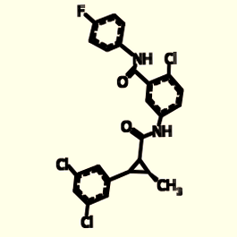 C[C@@H]1C(C(=O)Nc2ccc(Cl)c(C(=O)Nc3ccc(F)cc3)c2)C1c1cc(Cl)cc(Cl)c1